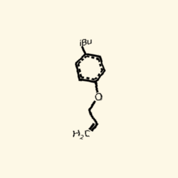 C=CCOc1ccc(C(C)CC)cc1